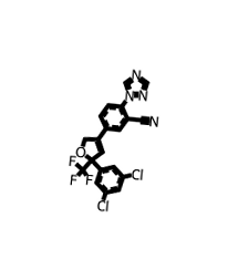 N#Cc1cc(C2=CC(c3cc(Cl)cc(Cl)c3)(C(F)(F)F)OC2)ccc1-n1cncn1